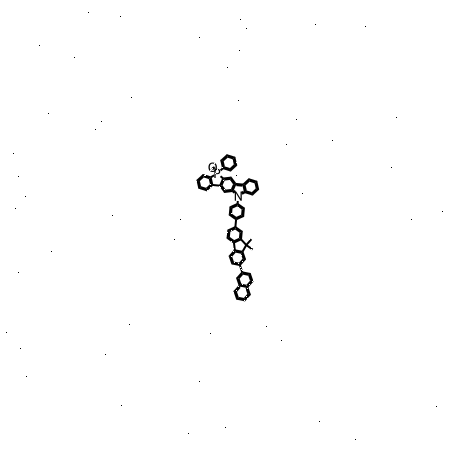 CC1(C)c2cc(-c3ccc(-n4c5ccccc5c5cc6c(cc54)-c4ccccc4P6(=O)c4ccccc4)cc3)ccc2-c2ccc(-c3ccc4ccccc4c3)cc21